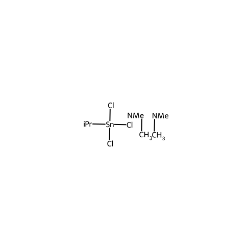 CNC.CNC.C[CH](C)[Sn]([Cl])([Cl])[Cl]